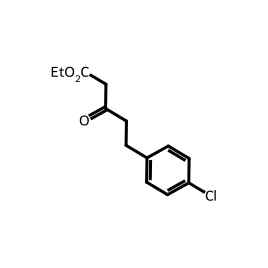 CCOC(=O)CC(=O)CCc1ccc(Cl)cc1